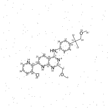 COCc1nc(Nc2ccc(C(C)(C)COC)cc2)c2ccc(-c3ncccc3Cl)nc2n1